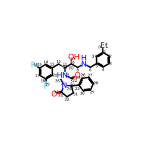 CCc1cccc(CNC[C@H](O)[C@H](Cc2cc(F)cc(F)c2)NC(=O)[C@]2(c3ccccc3)CCC(=O)N2C)c1